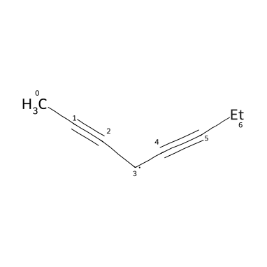 CC#C[CH]C#CCC